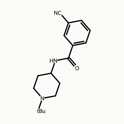 CC(C)(C)N1CCC(NC(=O)c2cccc(C#N)c2)CC1